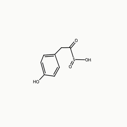 O=C(Cc1ccc(O)cc1)S(=O)O